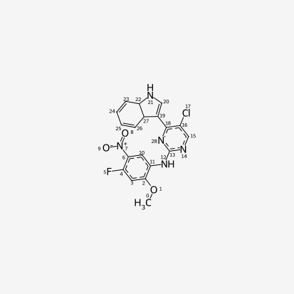 COc1cc(F)c([N+](=O)[O-])cc1Nc1ncc(Cl)c(C2=CNC3C=CC=CC23)n1